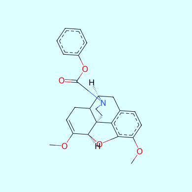 COC1=CCC2[C@H]3Cc4ccc(OC)c5c4[C@@]2(CCN3C(=O)Oc2ccccc2)[C@H]1O5